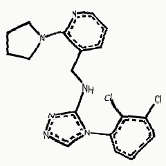 Clc1cccc(-n2cnnc2NCc2cccnc2N2CCCC2)c1Cl